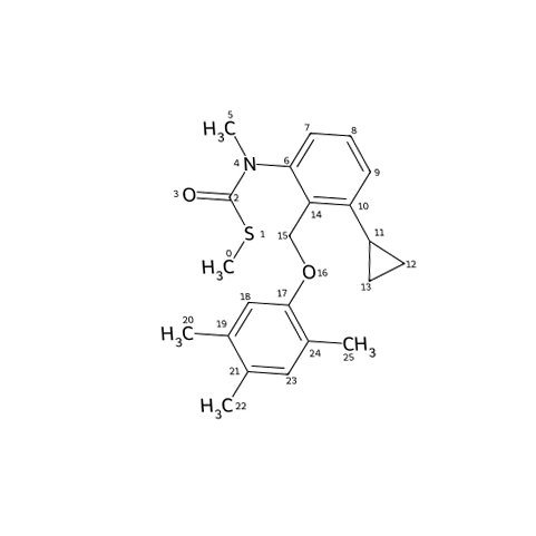 CSC(=O)N(C)c1cccc(C2CC2)c1COc1cc(C)c(C)cc1C